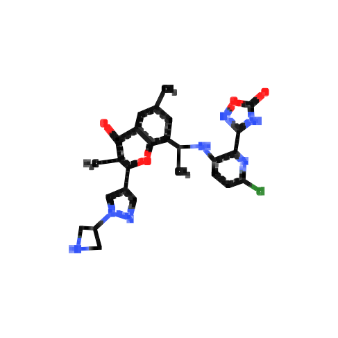 Cc1cc(C(C)Nc2ccc(Cl)nc2-c2noc(=O)[nH]2)c2oc(-c3cnn(C4CNC4)c3)c(C)c(=O)c2c1